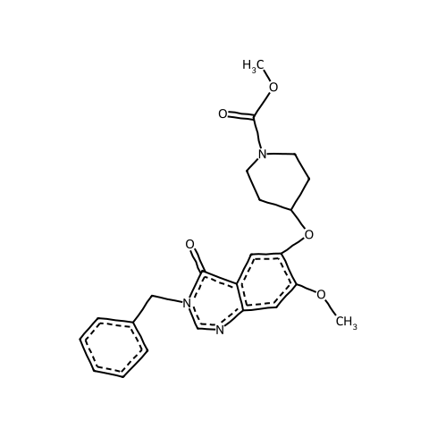 COC(=O)N1CCC(Oc2cc3c(=O)n(Cc4ccccc4)cnc3cc2OC)CC1